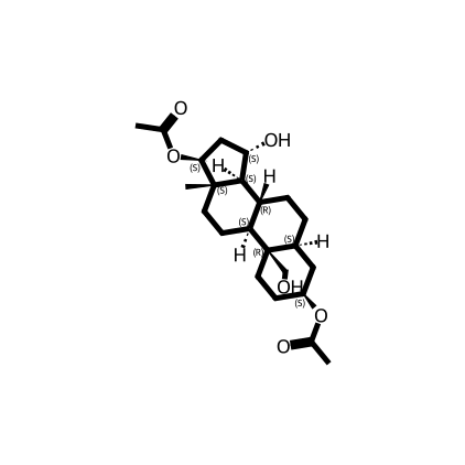 CC(=O)O[C@H]1CC[C@@]2(CO)[C@@H](CC[C@H]3[C@@H]4[C@@H](O)C[C@H](OC(C)=O)[C@@]4(C)CC[C@@H]32)C1